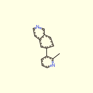 Cc1ncccc1-c1ccc2cnccc2c1